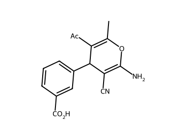 CC(=O)C1=C(C)OC(N)=C(C#N)C1c1cccc(C(=O)O)c1